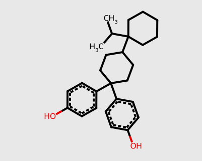 CC(C)C1(C2CCC(c3ccc(O)cc3)(c3ccc(O)cc3)CC2)CCCCC1